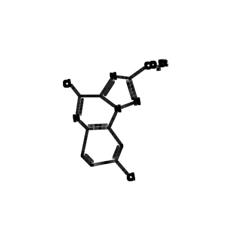 CCOC(=O)c1nc2c(Cl)nc3ccc(Cl)cc3n2n1